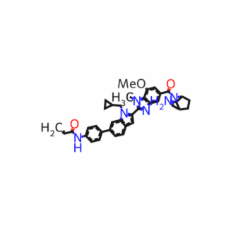 C=CC(=O)Nc1ccc(-c2ccc3cc(-c4nc5cc(C(=O)N6CC7CCC6C7N)cc(OC)c5n4C)n(CC4CC4)c3c2)cc1